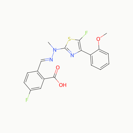 COc1ccccc1-c1nc(N(C)/N=C/c2ccc(F)cc2C(=O)O)sc1F